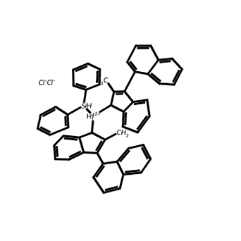 CC1=C(c2cccc3ccccc23)c2ccccc2[CH]1[Hf+2]([CH]1C(C)=C(c2cccc3ccccc23)c2ccccc21)[SiH](c1ccccc1)c1ccccc1.[Cl-].[Cl-]